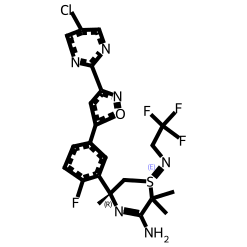 CC1(C)C(N)=N[C@](C)(c2cc(-c3cc(-c4ncc(Cl)cn4)no3)ccc2F)C/S1=N\CC(F)(F)F